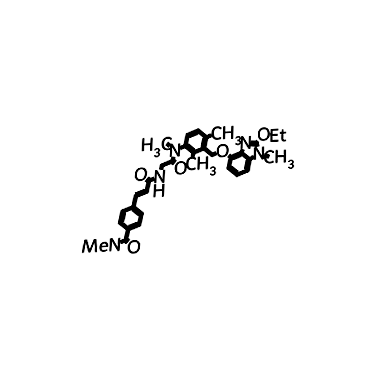 CCOc1nc2c(OCc3c(C)ccc(N(C)C(=O)CNC(=O)C=Cc4ccc(C(=O)NC)cc4)c3C)cccc2n1C